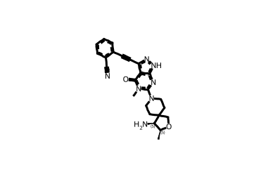 C[C@@H]1OCC2(CCN(c3nc4[nH]nc(C#Cc5ccccc5C#N)c4c(=O)n3C)CC2)[C@@H]1N